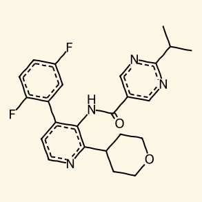 CC(C)c1ncc(C(=O)Nc2c(-c3cc(F)ccc3F)ccnc2C2CCOCC2)cn1